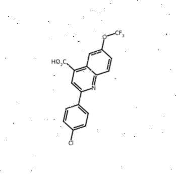 O=C(O)c1cc(-c2ccc(Cl)cc2)nc2ccc(OC(F)(F)F)cc12